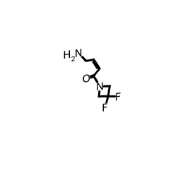 NC/C=C\C(=O)N1CC(F)(F)C1